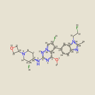 COc1nc(N[C@@H]2CCN(C3COC3)C[C@H]2F)nn2cc(F)c(-c3ccc4nc(C)n(CCF)c4c3)c12